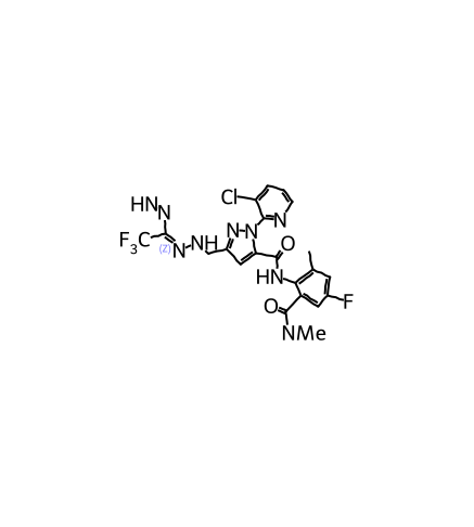 CNC(=O)c1cc(F)cc(C)c1NC(=O)c1cc(CN/N=C(\N=N)C(F)(F)F)nn1-c1ncccc1Cl